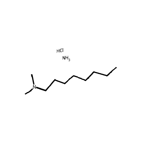 CCCCCCCCN(C)C.Cl.N